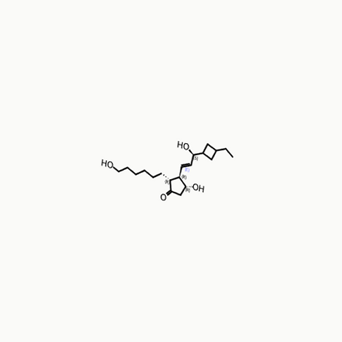 CCC1CC([C@H](O)/C=C/[C@H]2[C@H](O)CC(=O)[C@@H]2CCCCCCO)C1